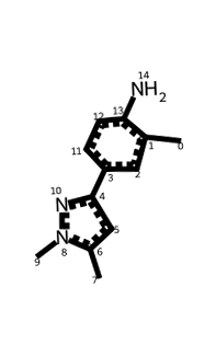 Cc1cc(-c2cc(C)n(C)n2)ccc1N